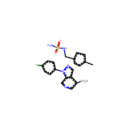 Cc1ccc(CNS(N)(=O)=O)cc1.O=C(O)c1cncc2c1cnn2-c1ccc(F)cc1